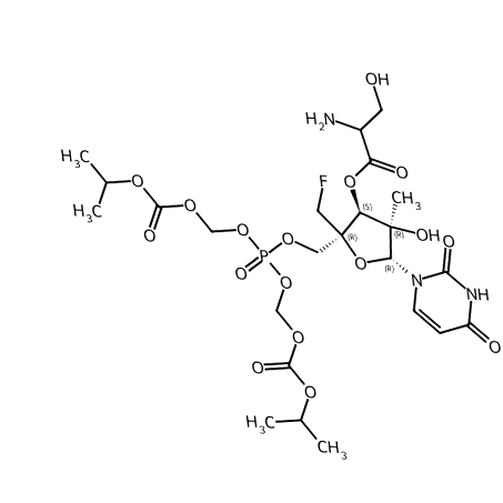 CC(C)OC(=O)OCOP(=O)(OCOC(=O)OC(C)C)OC[C@@]1(CF)O[C@@H](n2ccc(=O)[nH]c2=O)[C@](C)(O)[C@@H]1OC(=O)C(N)CO